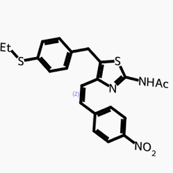 CCSc1ccc(Cc2sc(NC(C)=O)nc2/C=C\c2ccc([N+](=O)[O-])cc2)cc1